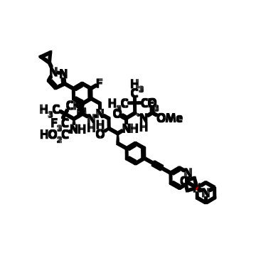 COC(=O)N[C@H](C(=O)N[C@@H](Cc1ccc(C#Cc2ccc(N3CC4CC(C3)N4C3COC3)nc2)cc1)[C@@H](O)CN(Cc1c(F)cc(-c2ccn(C3CC3)n2)cc1F)NC(=O)[C@@H](NC(=O)O)C(C)(C)C(F)(F)F)C(C)(C)C(F)(F)F